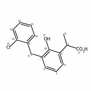 CC(C(=O)O)c1cccc(Sc2ccccc2Cl)c1O